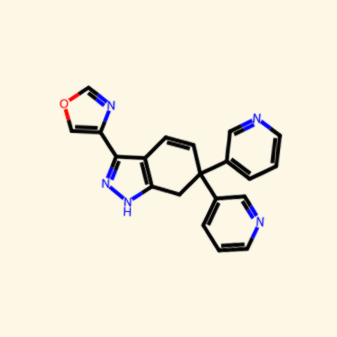 C1=CC(c2cccnc2)(c2cccnc2)Cc2[nH]nc(-c3cocn3)c21